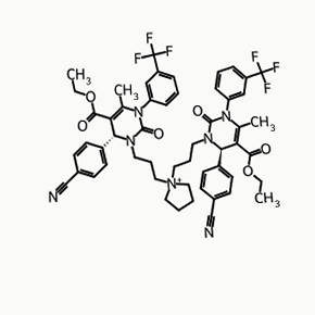 CCOC(=O)C1=C(C)N(c2cccc(C(F)(F)F)c2)C(=O)N(CCC[N+]2(CCCN3C(=O)N(c4cccc(C(F)(F)F)c4)C(C)=C(C(=O)OCC)[C@H]3c3ccc(C#N)cc3)CCCC2)[C@@H]1c1ccc(C#N)cc1